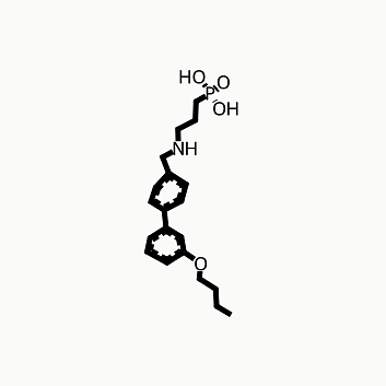 CCCCOc1cccc(-c2ccc(CNCCCP(=O)(O)O)cc2)c1